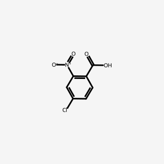 O=C(O)c1ccc(Cl)cc1[N+](=O)[O-]